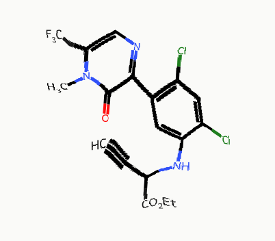 C#CC(Nc1cc(-c2ncc(C(F)(F)F)n(C)c2=O)c(Cl)cc1Cl)C(=O)OCC